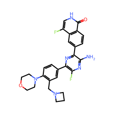 Nc1nc(F)c(-c2ccc(N3CCOCC3)c(CN3CCC3)c2)nc1-c1ccc2c(=O)[nH]cc(F)c2c1